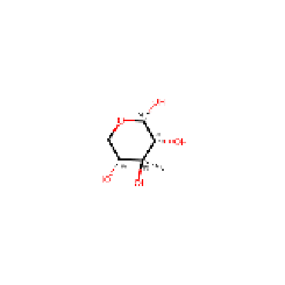 C[C@]1(O)[C@H](O)CO[C@H](O)[C@@H]1O